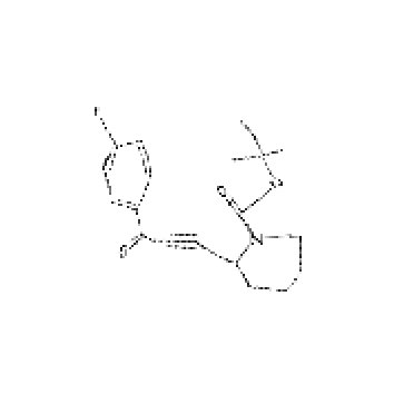 CC(C)(C)OC(=O)N1CCCCC1C#CC(=O)c1ccc(F)cc1